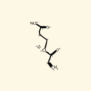 C=CC(=O)OCCC(=O)O.[Zr]